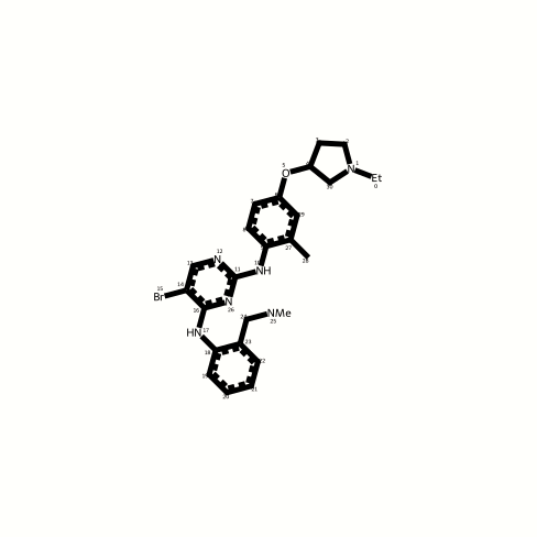 CCN1CCC(Oc2ccc(Nc3ncc(Br)c(Nc4ccccc4CNC)n3)c(C)c2)C1